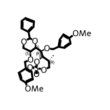 COc1ccc(CO[C@@H]([C@@H]2OS(=O)(=O)OC[C@H]2C)[C@@H]2OC(c3ccccc3)OC[C@@H]2OCc2ccc(OC)cc2)cc1